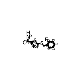 NC(=O)c1nnc(SCc2ccccc2F)s1